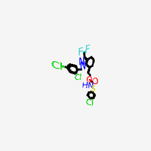 O=C(NSc1ccc(Cl)cc1)OC/C=C1\CCCc2c(C(F)F)nn(Cc3ccc(Cl)cc3Cl)c21